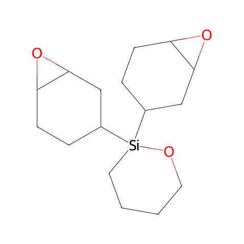 C1CC[Si](C2CCC3OC3C2)(C2CCC3OC3C2)OC1